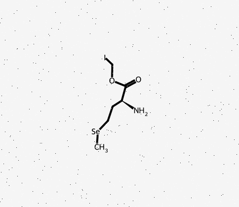 C[Se]CC[C@H](N)C(=O)OCI